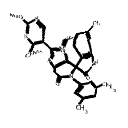 COc1ncc(-c2nc3c(n2C(C)C)C2(C(=O)Nc4cc(C)ccc42)N(c2cc(C)cc(C)c2)C3=O)c(OC)n1